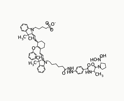 C[C@@H](NC(=O)c1ccc(NNC(=O)CCCCC[N+]2=C(/C=C/C3=C(Oc4ccccc4)C(=C/C=C4/N(CCCCS(=O)(=O)[O-])c5ccccc5C4(C)C)/CCC3)C(C)(C)c3ccccc32)cc1)C(=O)N1CCC[C@H]1N(O)O